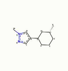 C[C@@H]1CCCC(c2cnn(C)c2)C1